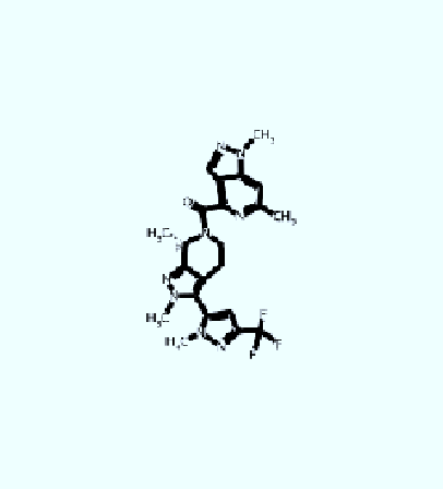 Cc1cc2c(cnn2C)c(C(=O)N2CCc3c(nn(C)c3-c3cc(C(F)(F)F)nn3C)[C@@H]2C)n1